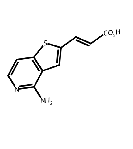 Nc1nccc2sc(C=CC(=O)O)cc12